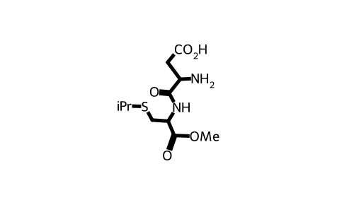 COC(=O)C(CSC(C)C)NC(=O)C(N)CC(=O)O